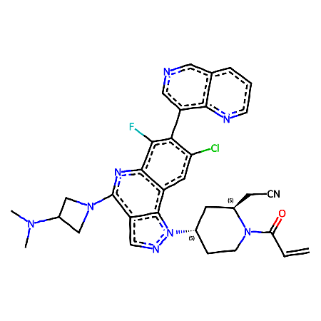 C=CC(=O)N1CC[C@H](n2ncc3c(N4CC(N(C)C)C4)nc4c(F)c(-c5cncc6cccnc56)c(Cl)cc4c32)C[C@H]1CC#N